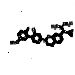 COc1ccc(F)c(-c2ccc([C@@H]3COc4ccc(C(C5CC5)[C@H](C)C(=O)O)cc4O3)cc2Cl)c1